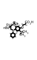 CCCCC1(CC)CN(c2ccccc2)c2cc(N(C)C)c(OCCC(=O)O)cc2S(=O)(=O)C1